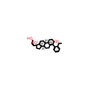 CC(=O)c1ccccc1C1=C2CC[C@@H]3[C@H](CC[C@@]4(C)[C@H]3CC[C@@]4(O)/C=C\CO)[C@H]2CCC1=O